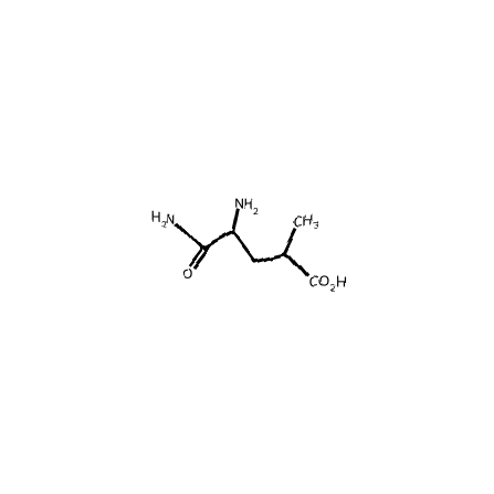 CC(CC(N)C(N)=O)C(=O)O